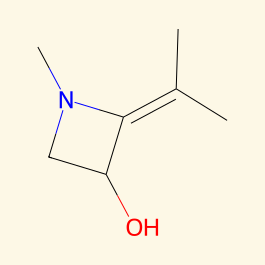 CC(C)=C1C(O)CN1C